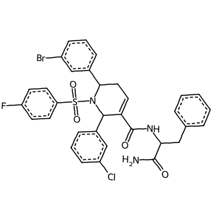 NC(=O)C(Cc1ccccc1)NC(=O)C1=CCC(c2cccc(Br)c2)N(S(=O)(=O)c2ccc(F)cc2)C1c1cccc(Cl)c1